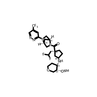 CO[C@@H]1COCC[C@@H]1N[C@@H]1CC[C@](CC(F)F)(C(=O)N2C[C@@H]3C[C@H]2CN3c2cc(C(F)(F)F)cnn2)C1